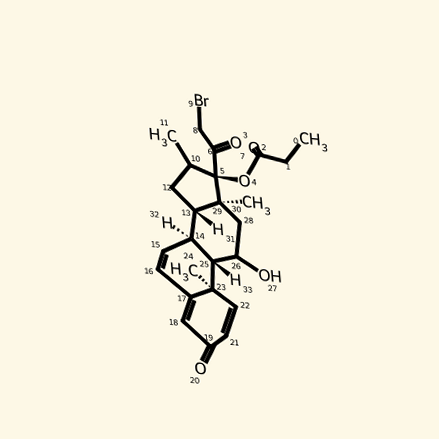 CCC(=O)O[C@]1(C(=O)CBr)C(C)C[C@H]2[C@@H]3C=CC4=CC(=O)C=C[C@]4(C)[C@H]3C(O)C[C@@]21C